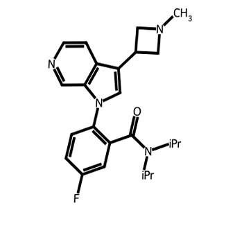 CC(C)N(C(=O)c1cc(F)ccc1-n1cc(C2CN(C)C2)c2ccncc21)C(C)C